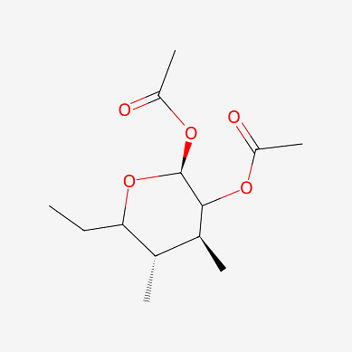 CCC1O[C@@H](OC(C)=O)C(OC(C)=O)[C@@H](C)[C@@H]1C